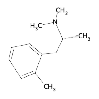 Cc1ccccc1C[C@@H](C)N(C)C